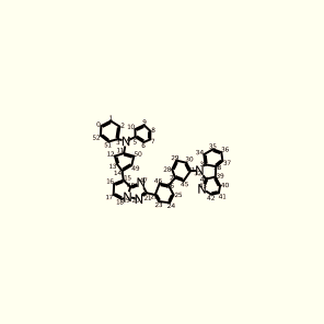 c1ccc(N(c2ccccc2)c2ccc(-c3cccn4nc(-c5cccc(-c6cccc(-n7c8ccccc8c8cccnc87)c6)c5)nc34)cc2)cc1